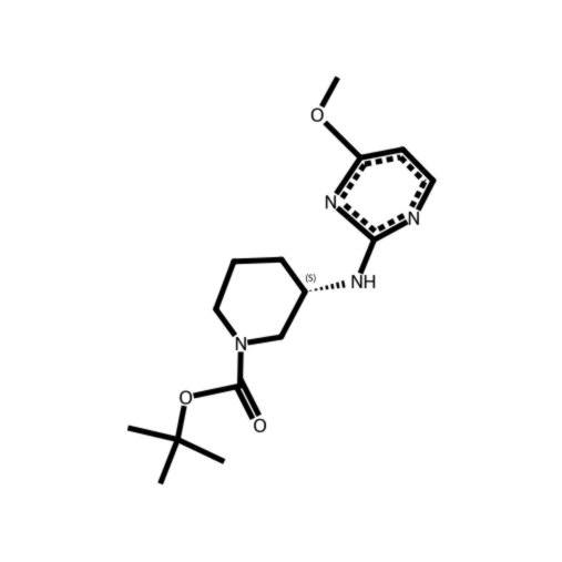 COc1ccnc(N[C@H]2CCCN(C(=O)OC(C)(C)C)C2)n1